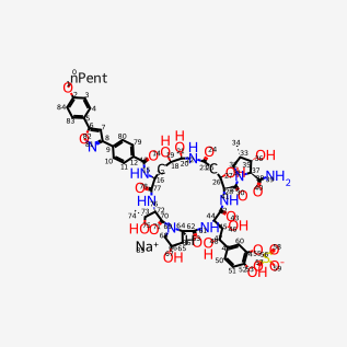 CCCCCOc1ccc(-c2cc(-c3ccc(C(=O)N[C@H]4C[C@@H](O)[C@@H](O)NC(=O)C[C@@H](O)[C@@H](C(=O)N5C[C@H](C)[C@H](O)[C@H]5C(N)=O)NC(=O)[C@H]([C@H](O)[C@@H](O)c5ccc(O)c(OS(=O)(=O)[O-])c5)NC(=O)[C@@H]5C[C@@H](O)CN5C(=O)[C@H]([C@@H](C)O)NC4=O)cc3)no2)cc1.[Na+]